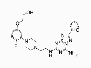 Nc1nc(NCCN2CCN(c3cc(OCCO)ccc3F)CC2)nc2nc(-c3ccco3)nn12